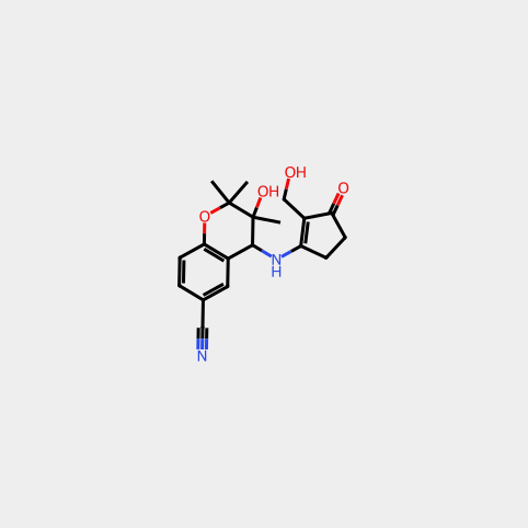 CC1(C)Oc2ccc(C#N)cc2C(NC2=C(CO)C(=O)CC2)C1(C)O